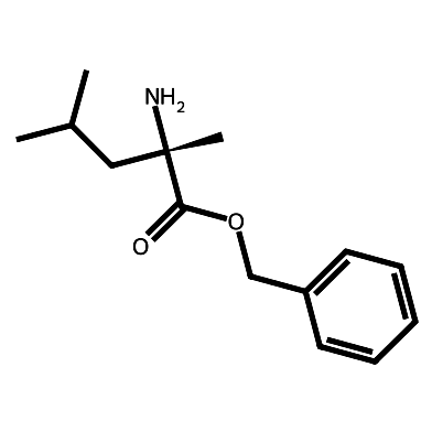 CC(C)C[C@](C)(N)C(=O)OCc1ccccc1